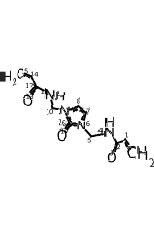 C=CC(=O)NCn1ccn(CNC(=O)C=C)c1=O